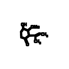 CC=C(C)C1C(=O)CCC(O)C1OC